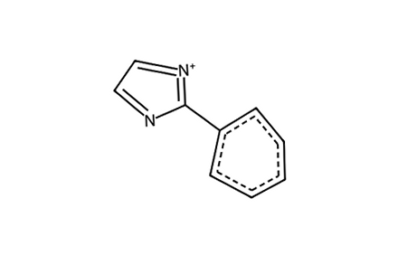 C1=NC(c2ccccc2)=[N+]=C1